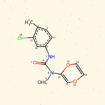 Cc1ccc(NC(=O)N(C=O)C2=COC=CO2)cc1Cl